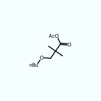 CCCCOCC(C)(C)C(=O)OC(C)=O